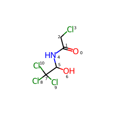 O=C(CCl)NC(O)C(Cl)(Cl)Cl